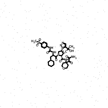 CC(C)(O)c1cnnn1[C@H]1C[C@@H](C(=O)NC2(C(=O)C(N)=O)CCOCC2)N(C(=O)C(CC2CCCCC2)NC(=O)Nc2ccc(S(C)(=O)=O)cc2)C1